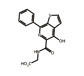 O=C(O)CNC(=O)c1nc(-c2ccccc2)c2sccc2c1O